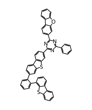 c1ccc(-c2nc(-c3ccc4c(c3)oc3ccccc34)nc(-c3ccc4c(c3)sc3cc(-c5ccccc5-c5cccc6c5sc5ccccc56)ccc34)n2)cc1